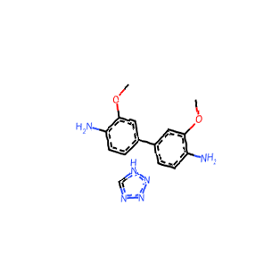 COc1cc(-c2ccc(N)c(OC)c2)ccc1N.c1nnn[nH]1